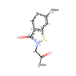 COC(=O)Cn1sc2cc(OC)ccc2c1=O